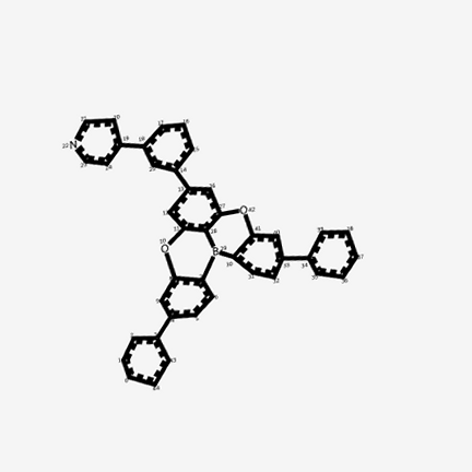 c1ccc(-c2ccc3c(c2)Oc2cc(-c4cccc(-c5ccncc5)c4)cc4c2B3c2ccc(-c3ccccc3)cc2O4)cc1